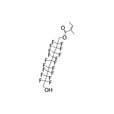 CC=C(C)C(=O)OCC(F)(F)C(F)(F)C(F)(F)C(F)(F)C(F)(F)C(F)(F)C(F)(F)C(F)(F)C(F)(F)CO